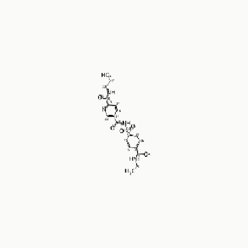 CCNC(=O)c1ccc(S(=O)(=O)NC(=O)c2ccc(C(=O)NCCO)nc2)cc1